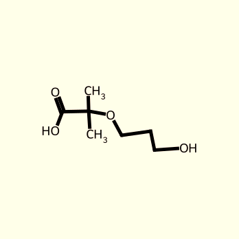 CC(C)(OCCCO)C(=O)O